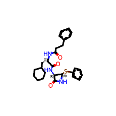 O=C(CCc1ccccc1)N[C@@H](CC1CCCCC1)C(=O)N[C@@H]1C(=O)N[C@@H]1Sc1ccccc1